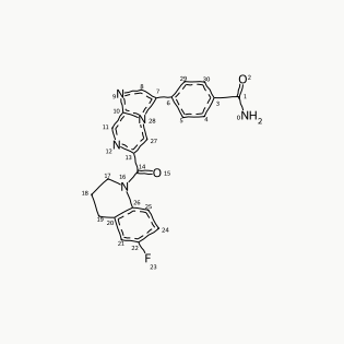 NC(=O)c1ccc(-c2cnc3cnc(C(=O)N4CCCc5cc(F)ccc54)cn23)cc1